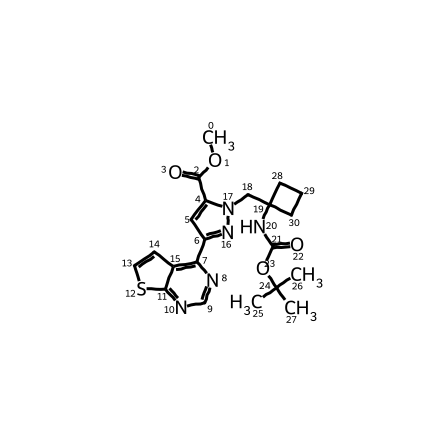 COC(=O)c1cc(-c2ncnc3sccc23)nn1CC1(NC(=O)OC(C)(C)C)CCC1